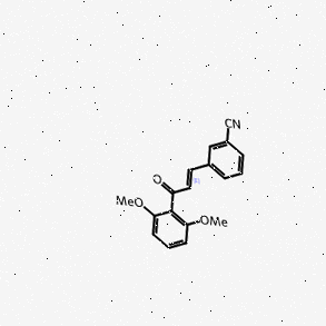 COc1cccc(OC)c1C(=O)/C=C/c1cccc(C#N)c1